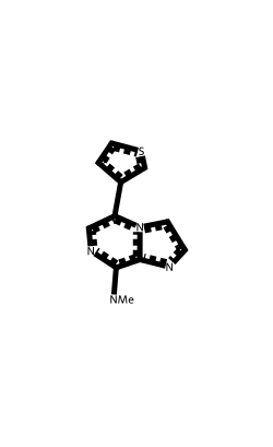 CNc1ncc(-c2ccsc2)n2ccnc12